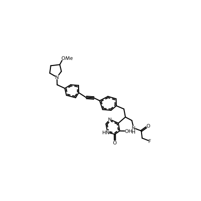 COC1CCN(Cc2ccc(C#Cc3ccc(CC(CNC(=O)CF)c4nc[nH]c(=O)c4O)cc3)cc2)C1